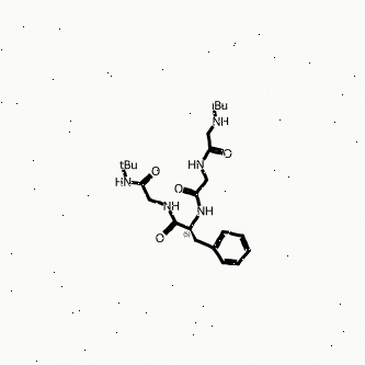 CCC(C)NCC(=O)NCC(=O)N[C@@H](Cc1ccccc1)C(=O)NCC(=O)NC(C)(C)C